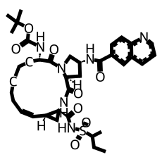 CCC(C)S(=O)(=O)NC(=O)[C@@]12C[C@H]1/C=C\CCCCC[C@H](NC(=O)OC(C)(C)C)C(=O)N1C[C@H](NC(=O)c3ccc4ncccc4c3)C[C@H]1C(=O)N2